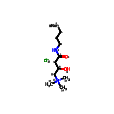 CCCCCCCCCCCCNC(=O)CC(O)C[N+](C)(C)C.[Cl-]